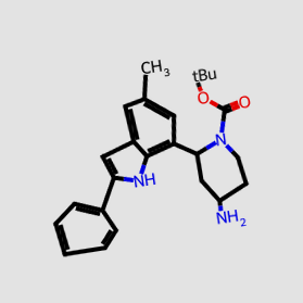 Cc1cc(C2CC(N)CCN2C(=O)OC(C)(C)C)c2[nH]c(-c3ccccc3)cc2c1